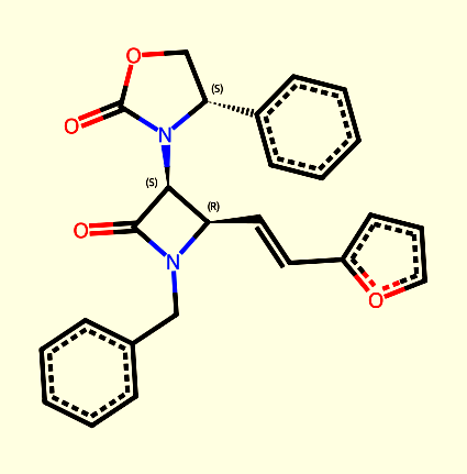 O=C1[C@@H](N2C(=O)OC[C@@H]2c2ccccc2)[C@@H](C=Cc2ccco2)N1Cc1ccccc1